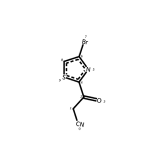 N#CCC(=O)c1nc(Br)cs1